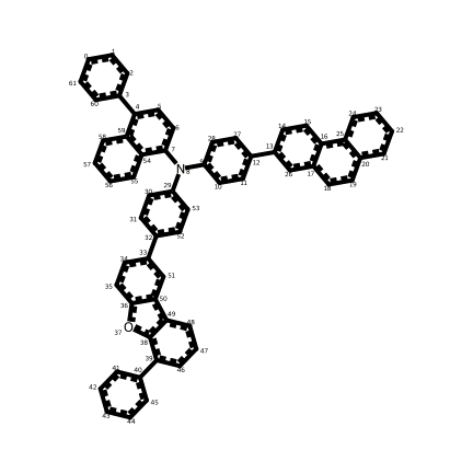 c1ccc(-c2ccc(N(c3ccc(-c4ccc5c(ccc6ccccc65)c4)cc3)c3ccc(-c4ccc5oc6c(-c7ccccc7)cccc6c5c4)cc3)c3ccccc23)cc1